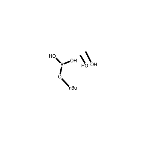 CCCCOB(O)O.CO.CO